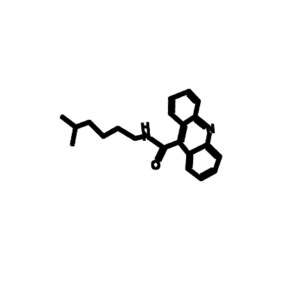 CC(C)CCCCNC(=O)c1c2ccccc2nc2ccccc12